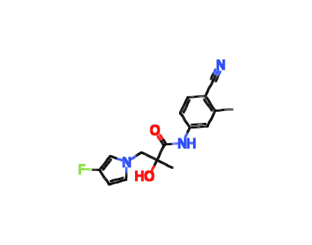 Cc1cc(NC(=O)C(C)(O)Cn2ccc(F)c2)ccc1C#N